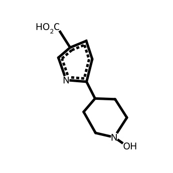 O=C(O)c1ccc(C2CCN(O)CC2)nc1